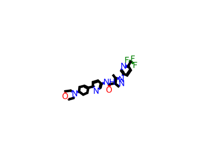 Cc1c(C(=O)Nc2ccc(C3=CCC(N4CCOCC4)CC3)nc2)cnn1-c1ccc(C(F)(F)F)nc1